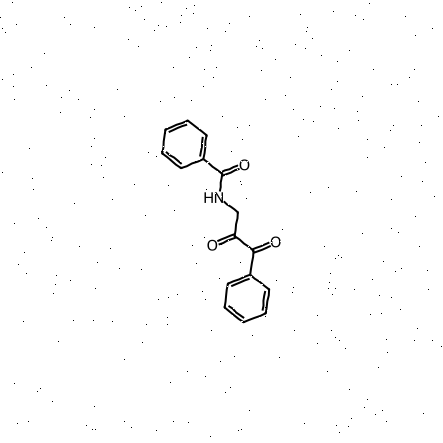 O=C(CNC(=O)c1ccccc1)C(=O)c1ccccc1